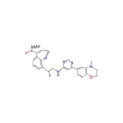 CNC(=O)c1ccnc2c([C@H](C)CNc3cc(-c4ccc5c(c4)N(C)CCO5)ncn3)cccc12